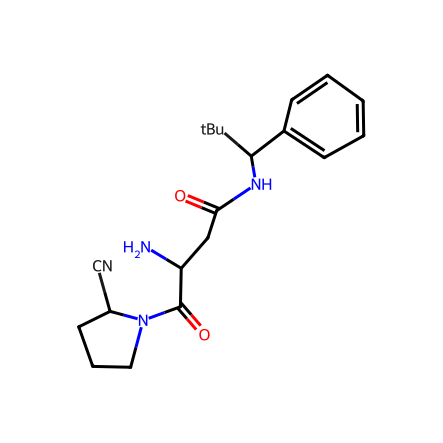 CC(C)(C)C(NC(=O)CC(N)C(=O)N1CCCC1C#N)c1ccccc1